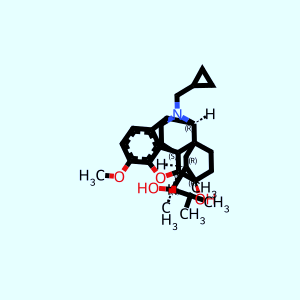 COc1ccc2c3c1O[C@@H]1[C@@]4(O)CCC5(C[C@@H]4[C@](C)(O)C(C)(C)C)[C@@H](C2)N(CC2CC2)CC[C@]315